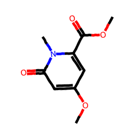 COC(=O)c1cc(OC)cc(=O)n1C